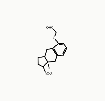 CCCCCCCCC1CCC2Cc3c(cccc3OCC=O)C[C@H]12